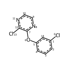 Clc1cccc(Oc2nccnc2Cl)c1